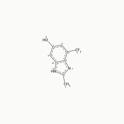 Cc1nc2c(C(F)(F)F)cc(O)cc2[nH]1